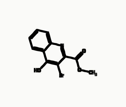 COC(=O)c1nc2ccccc2c(O)c1Br